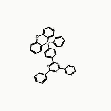 c1ccc(-c2nc(-c3ccccc3)nc(-c3ccc(S4(c5ccccc5)c5ccccc5Oc5ccccc54)cc3)n2)cc1